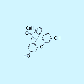 O=C1OC2(c3ccc(O)cc3Oc3cc(O)ccc32)c2ccccc21.[CaH2]